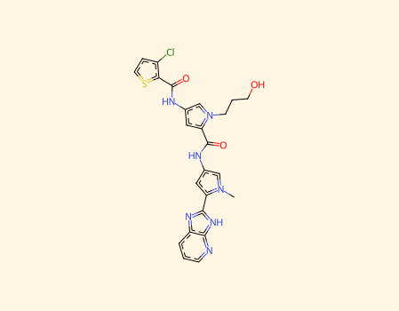 Cn1cc(NC(=O)c2cc(NC(=O)c3sccc3Cl)cn2CCCO)cc1-c1nc2cccnc2[nH]1